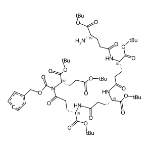 CC(C)(C)OC(=O)CC[C@@H](C(=O)OC(C)(C)C)N(C(=O)CC[C@H](NC(=O)CC[C@H](NC(=O)CC[C@H](NC(=O)CC[C@H](N)C(=O)OC(C)(C)C)C(=O)OC(C)(C)C)C(=O)OC(C)(C)C)C(=O)OC(C)(C)C)C(=O)OCc1ccccc1